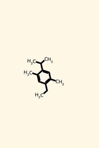 CCc1cc(C)c(C(C)C)cc1C